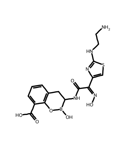 NCCNc1nc(C(=NO)C(=O)NC2Cc3cccc(C(=O)O)c3OB2O)cs1